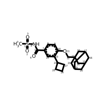 CS(=O)(=O)NC(=O)c1ccc(OCC23CC4CC(CC(C4)C2)C3)c(C2CCC2)c1